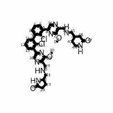 COc1nc(-c2cccc(-c3cccc(-c4cnc(CNCC5CCC(=O)N5)c(OC)n4)c3Cl)c2Cl)cnc1CNCC1CCNC(=O)C1